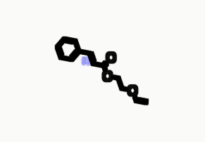 C=COCCOC(=O)/C=C/c1ccccc1